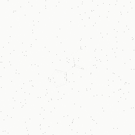 CCOC(=O)c1cn[c]s1